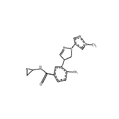 Cc1ccc(C(=O)NC2CC2)cc1C1C=NN(c2cnn(C)c2)C1